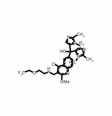 COc1nc2ccc(C(O)(c3cnc(C)n3C)c3cnc(C)n3C)cc2c(Cl)c1CNCCOCC(F)(F)F